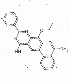 CCOc1cc(-c2ccccc2C(N)=O)cc2c(NC)nc(-c3cccnc3)nc12